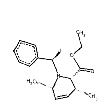 CCOC(=O)[C@@H]1[C@H](C)C=C[C@H](C)N1[C@H](I)c1ccccc1